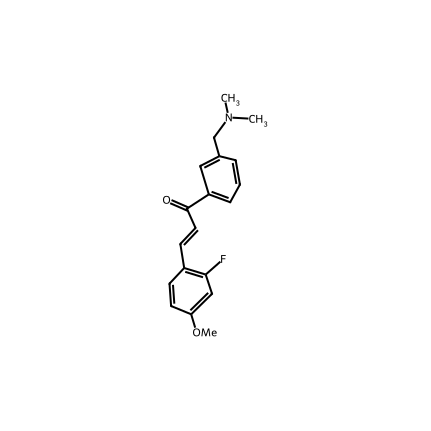 COc1ccc(C=CC(=O)c2cccc(CN(C)C)c2)c(F)c1